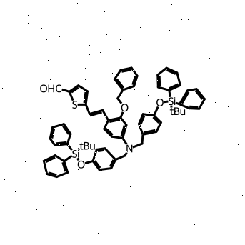 CC(C)(C)[Si](Oc1ccc(CN(Cc2ccc(O[Si](c3ccccc3)(c3ccccc3)C(C)(C)C)cc2)c2ccc(C=Cc3ccc(C=O)s3)c(OCc3ccccc3)c2)cc1)(c1ccccc1)c1ccccc1